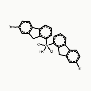 [SH][Zr]([Cl])([Cl])([c]1cccc2c1Cc1cc(Br)ccc1-2)[c]1cccc2c1Cc1cc(Br)ccc1-2